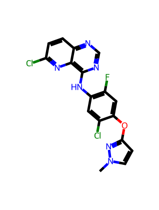 Cn1ccc(Oc2cc(F)c(Nc3ncnc4ccc(Cl)nc34)cc2Cl)n1